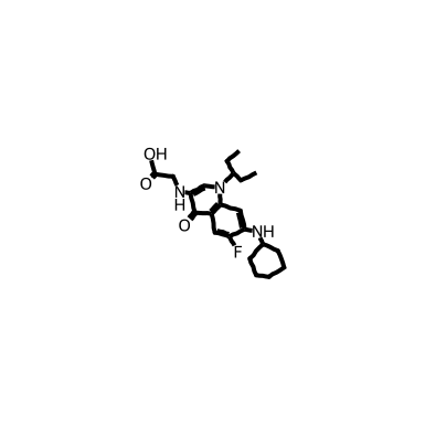 CCC(CC)n1cc(NCC(=O)O)c(=O)c2cc(F)c(NC3CCCCC3)cc21